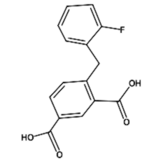 O=C(O)c1ccc(Cc2ccccc2F)c(C(=O)O)c1